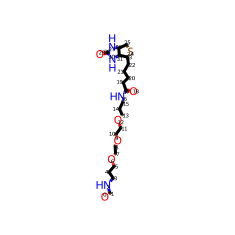 O=CNCCCOCCOCCOCCCNC(=O)CCCCC1SCC2NC(=O)NC21